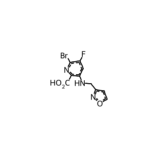 O=C(O)c1nc(Br)c(F)cc1NCc1ccon1